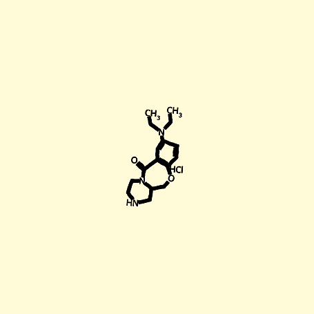 CCN(CC)c1ccc2c(c1)C(=O)N1CCNCC1CO2.Cl